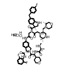 CN[C@@H](C)C(=O)N[C@H](C(=O)N1Cc2cc(NC(=O)CN(C(=O)CN3C[C@@H](C)NC[C@@H]3CN3CCOC[C@H]3C)C(=O)[C@]3(C)CNc4cc(Cc5ccc(F)cc5)ccc43)ccc2[C@H]1C(=O)Nc1c(F)cccc1F)C1CCOCC1.Cl.Cl.Cl